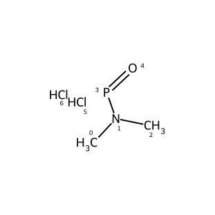 CN(C)P=O.Cl.Cl